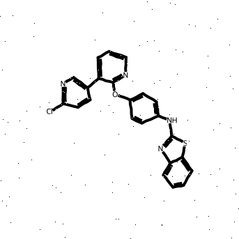 Clc1ccc(-c2cccnc2Oc2ccc(Nc3nc4ccccc4s3)cc2)cn1